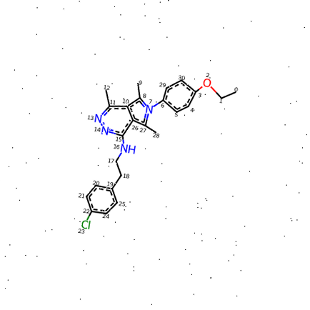 CCOc1ccc(-n2c(C)c3c(C)nnc(NCCc4ccc(Cl)cc4)c3c2C)cc1